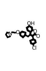 O=c1oc2cc(O)ccc2c(Cc2ccc(OCCN3CCCC3)cc2)c1-c1ccc(Cl)cc1